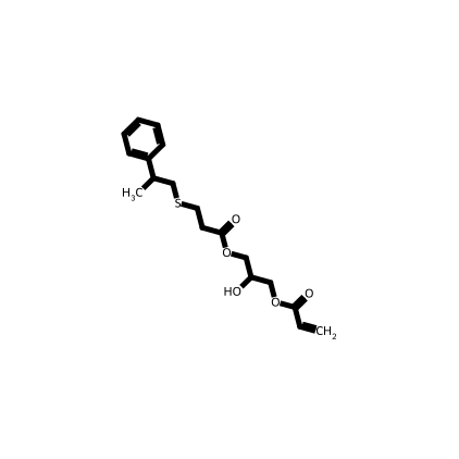 C=CC(=O)OCC(O)COC(=O)CCSCC(C)c1ccccc1